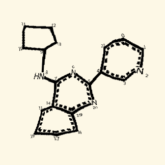 c1cncc(-c2nc(NC3CCCC3)c3ccccc3n2)c1